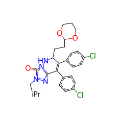 CC(C)Cn1nc2n(c1=O)NC(CCC1OCCCO1)C(c1ccc(Cl)cc1)=C2c1ccc(Cl)cc1